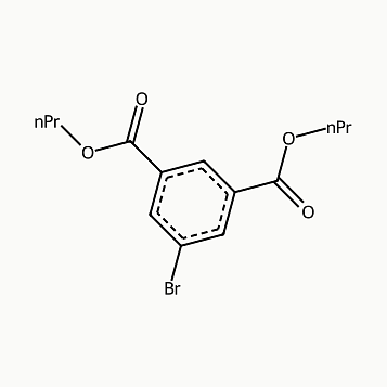 CCCOC(=O)c1cc(Br)cc(C(=O)OCCC)c1